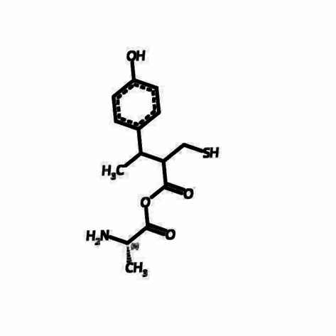 CC(c1ccc(O)cc1)C(CS)C(=O)OC(=O)[C@H](C)N